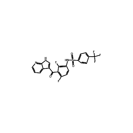 O=C(c1c(F)ccc(NS(=O)(=O)c2ccc(C(F)(F)F)cc2)c1F)c1c[nH]c2ncccc12